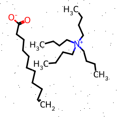 C=CCCCCCCCCC(=O)[O-].CCCC[N+](CCCC)(CCCC)CCCC